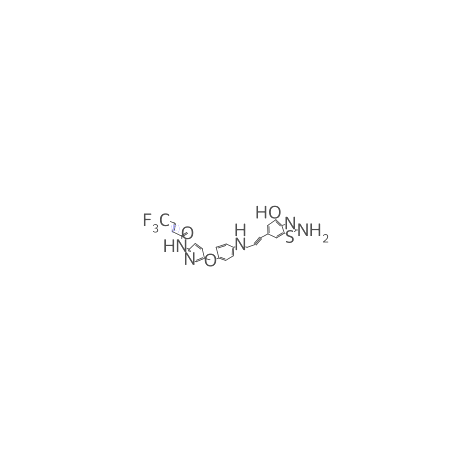 Nc1nc2c(O)cc(C#CCNc3ccc(Oc4ccc(NC(=O)/C=C/C(F)(F)F)nc4)cc3)cc2s1